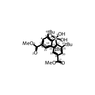 COC(=O)c1cc(C(C)(C)C)c(P(O)(O)(Cl)c2c(C(C)(C)C)cc(C(=O)OC)cc2C(C)(C)C)c(C(C)(C)C)c1